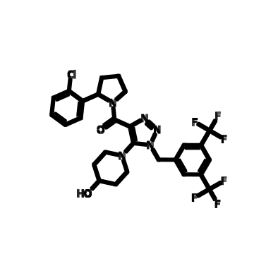 O=C(c1nnn(Cc2cc(C(F)(F)F)cc(C(F)(F)F)c2)c1N1CCC(O)CC1)N1CCCC1c1ccccc1Cl